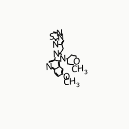 COc1ccc2ncc3nc(Cc4cn5ncsc5n4)n([C@@H]4CCO[C@H](C)C4)c3c2c1